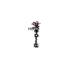 C[C@H](OC1CCCCO1)c1cn(Cc2cc(-c3ccc(C#CC#Cc4cccnc4)cc3)on2)c(CCO)n1